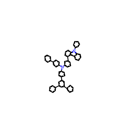 c1ccc(-c2ccc(N(c3ccc(-c4cc(-c5ccccc5)cc(-c5ccccc5)c4)cc3)c3cccc(-c4cccc5c4c4ccccc4n5-c4ccccc4)c3)cc2)cc1